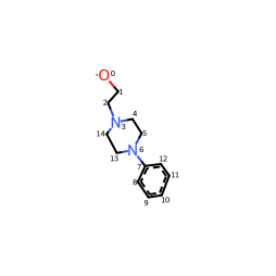 [O]CCN1CCN(c2ccccc2)CC1